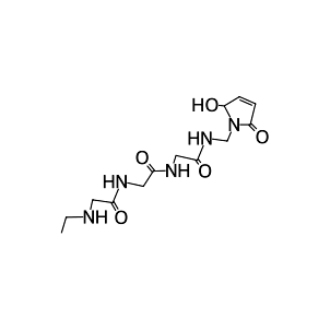 CCNCC(=O)NCC(=O)NCC(=O)NCN1C(=O)C=CC1O